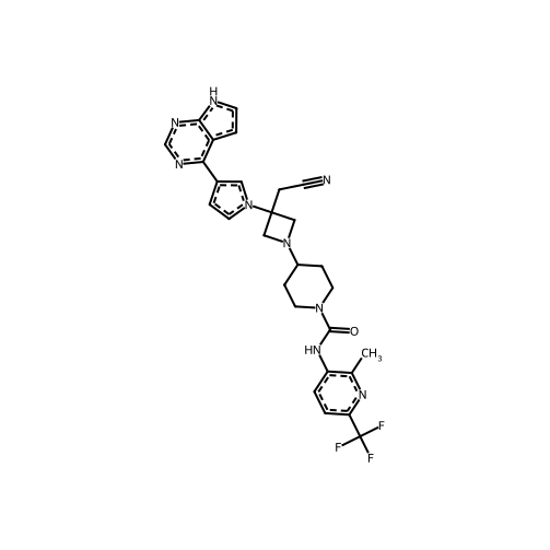 Cc1nc(C(F)(F)F)ccc1NC(=O)N1CCC(N2CC(CC#N)(n3ccc(-c4ncnc5[nH]ccc45)c3)C2)CC1